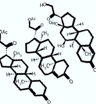 CC(=O)OCC(=O)[C@H]1CC[C@H]2[C@@H]3CCC4=CC(=O)CC[C@]4(C)[C@H]3CC[C@]12C.CC(=O)OCC(=O)[C@H]1CC[C@H]2[C@@H]3CCC4=CC(=O)CC[C@]4(C)[C@H]3CC[C@]12C.C[C@]12CCC(=O)C=C1CC[C@@H]1[C@@H]2[C@@H](O)C[C@]2(C=O)[C@@H](C(=O)CO)CC[C@@H]12